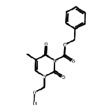 [CH2]COCn1cc(C)c(=O)n(C(=O)OCc2ccccc2)c1=O